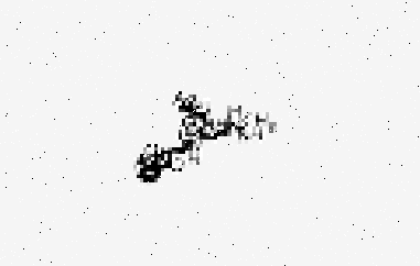 CC(=N)NCCC[C@H](NC(=O)CCN1C(=O)C2C3C=C[C@H](C3)[C@@H]2C1=O)C(=O)N[C@@H](CC(C)=O)C(=O)CCC(C)=O